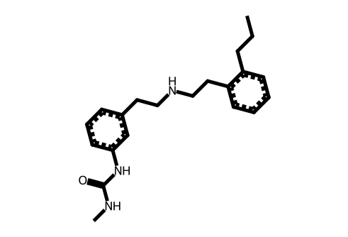 CCCc1ccccc1CCNCCc1cccc(NC(=O)NC)c1